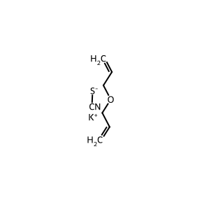 C=CCOCC=C.N#C[S-].[K+]